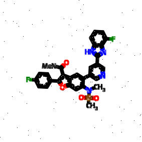 CNC(=O)c1c(-c2ccc(F)cc2)oc2cc(N(C)S(C)(=O)=O)c(-c3cncc(-c4nc5c(F)cccc5[nH]4)c3)cc12